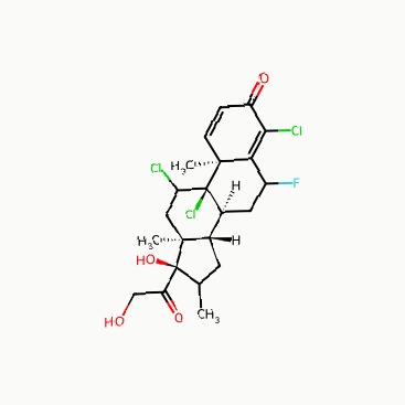 CC1C[C@H]2[C@@H]3CC(F)C4=C(Cl)C(=O)C=C[C@]4(C)[C@@]3(Cl)C(Cl)C[C@]2(C)[C@@]1(O)C(=O)CO